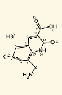 Br.NCc1cc(Cl)cc2cc(C(=O)O)c(=O)[nH]c12